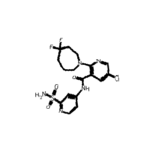 NS(=O)(=O)c1cc(NC(=O)c2cc(Cl)cnc2N2CCCC(F)(F)CC2)ccn1